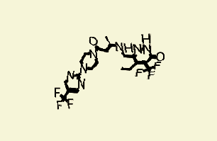 CCc1c(CN[C@H](C)CC(=O)N2CCN(c3ncc(C(F)(F)F)cn3)CC2)n[nH]c(=O)c1C(F)(F)F